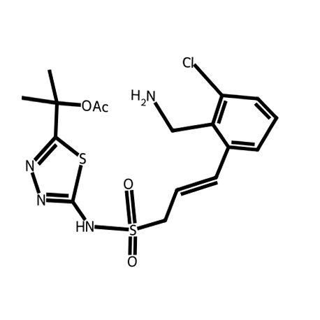 CC(=O)OC(C)(C)c1nnc(NS(=O)(=O)CC=Cc2cccc(Cl)c2CN)s1